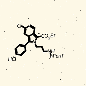 CCCCCNCCCn1c(C(=O)OCC)c2ccc(Cl)cc2c1-c1ccccc1.Cl